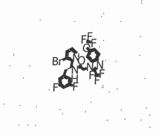 O=C(Cn1c(C(F)(F)F)nc2ccc(OC(F)(F)F)cc21)N[C@@H](Cc1cc(F)cc(F)c1)c1ncccc1Br